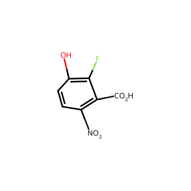 O=C(O)c1c([N+](=O)[O-])ccc(O)c1F